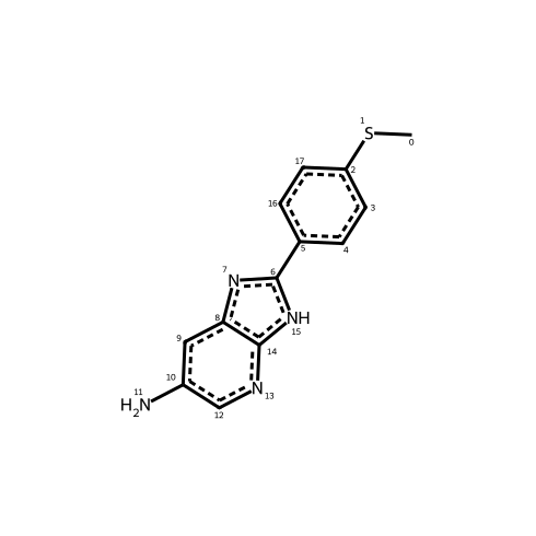 CSc1ccc(-c2nc3cc(N)cnc3[nH]2)cc1